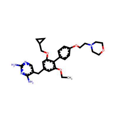 CCOc1cc(Cc2cnc(N)nc2N)cc(OCC2CC2)c1-c1ccc(OCCN2CCOCC2)cc1